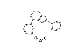 C1=C(c2ccccc2)Cc2cccc(-c3ccccc3)c21.[Cl][Zr][Cl]